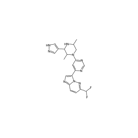 CC1CN(c2cc(-c3cnc4ccc(C(F)F)nn34)ncn2)C(C)C(c2cn[nH]c2)N1